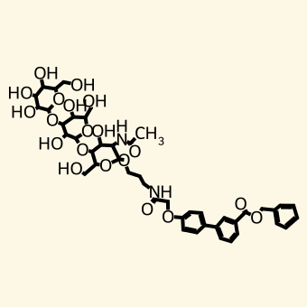 CC(=O)NC1C(OCCCNC(=O)COc2ccc(-c3cccc(C(=O)OCc4ccccc4)c3)cc2)OC(CO)C(OC2OC(CO)C(O)C(OC3OC(CO)C(O)C(O)C3O)C2O)C1O